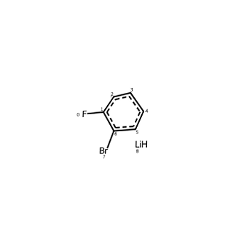 Fc1[c]cccc1Br.[LiH]